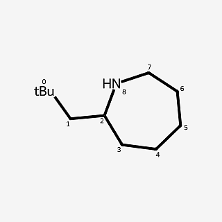 CC(C)(C)CC1CCCCCN1